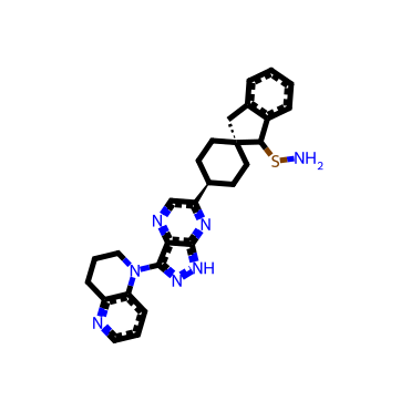 NSC1c2ccccc2C[C@]12CC[C@H](c1cnc3c(N4CCCc5ncccc54)n[nH]c3n1)CC2